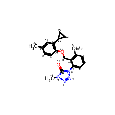 COc1cccc(-n2nnn(C)c2=O)c1COc1ccc(C)cc1C1CC1